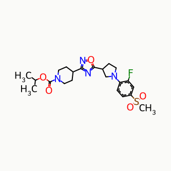 CC(C)OC(=O)N1CCC(c2noc(C3CCN(c4ccc(S(C)(=O)=O)cc4F)C3)n2)CC1